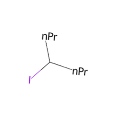 CCCC(I)CCC